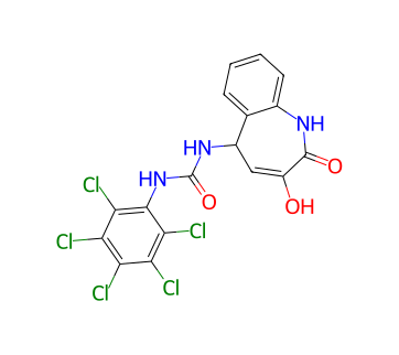 O=C(Nc1c(Cl)c(Cl)c(Cl)c(Cl)c1Cl)NC1C=C(O)C(=O)Nc2ccccc21